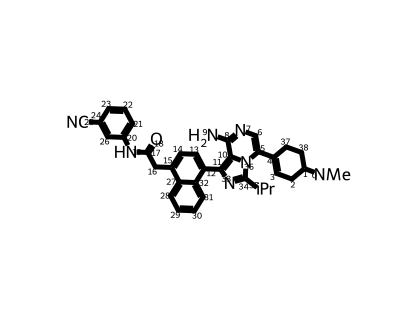 CNC1CC=C(c2cnc(N)c3c(-c4ccc(CC(=O)Nc5cccc(C#N)c5)c5ccccc45)nc(C(C)C)n23)CC1